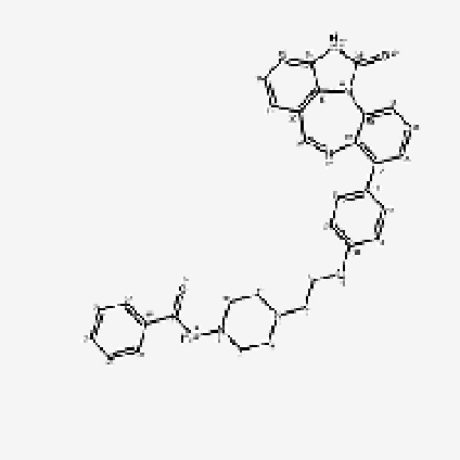 O=C(NN1CCN(CCOc2ccc(-c3cccc4c3N=Cc3cccc5[nH]c(=O)n-4c35)cc2)CC1)c1ccccc1